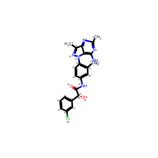 Cc1nc(N)c2c(n1)c(C)nn2-c1ccc(NC(=O)[C@H](O)c2cccc(Cl)c2)cc1C